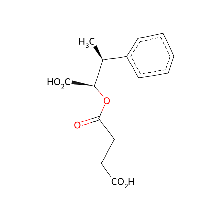 C[C@@H](c1ccccc1)[C@@H](OC(=O)CCC(=O)O)C(=O)O